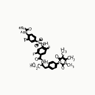 Cc1c(C)n(C)c(=O)n(-c2ccc(C[C@H](NC(=O)c3cc(F)c(NS(=O)(=O)c4ccc(NC(=O)C(C)(C)C)c(F)c4)cc3F)C(=O)O)cc2)c1=O